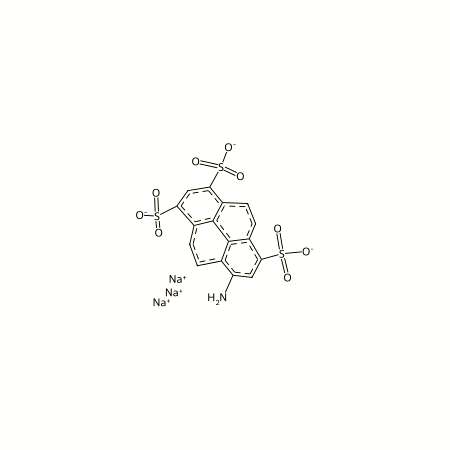 Nc1cc(S(=O)(=O)[O-])c2ccc3c(S(=O)(=O)[O-])cc(S(=O)(=O)[O-])c4ccc1c2c43.[Na+].[Na+].[Na+]